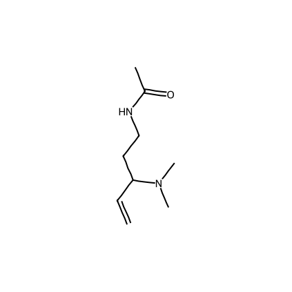 C=CC(CCNC(C)=O)N(C)C